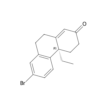 CC[C@@]12CCC(=O)C=C1CCc1cc(Br)ccc12